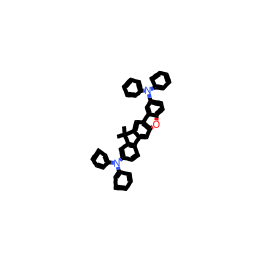 CC1(C)c2cc(N(c3ccccc3)c3ccccc3)ccc2-c2cc3oc4ccc(N(c5ccccc5)c5ccccc5)cc4c3cc21